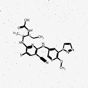 CC[C@H](NC(=O)O)[C@@H](C)Nc1nc(Nc2cnc(OC)c(-n3ccnn3)c2)c(C#N)cc1F